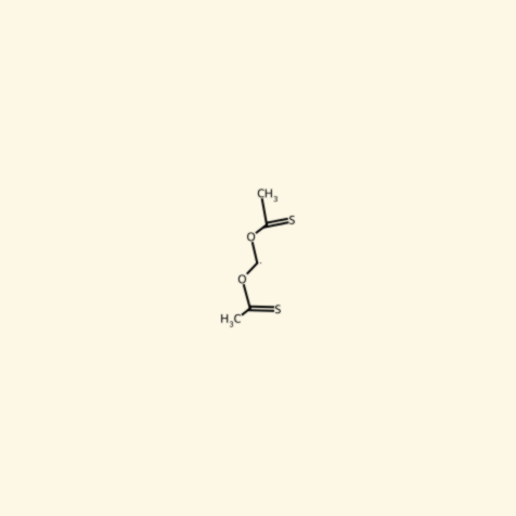 CC(=S)O[CH]OC(C)=S